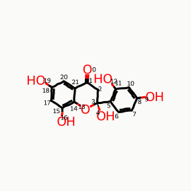 O=C1C[C@](O)(c2ccc(O)cc2O)Oc2c(O)cc(O)cc21